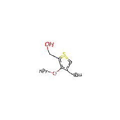 CCCOc1c(C(C)CC)csc1CO